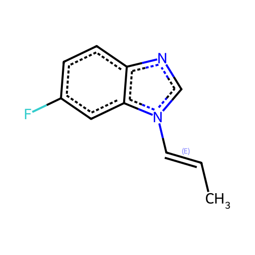 C/C=C/n1cnc2ccc(F)cc21